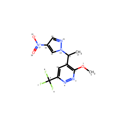 COc1nnc(C(F)(F)F)cc1C(C)n1cc([N+](=O)[O-])cn1